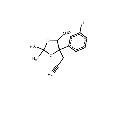 C#CCC1(c2cccc(Cl)c2)OC(C)(C)OC1C=O